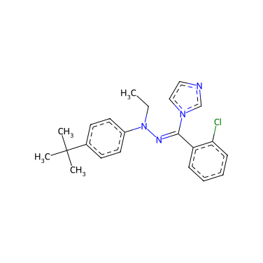 CCN(N=C(c1ccccc1Cl)n1ccnc1)c1ccc(C(C)(C)C)cc1